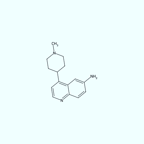 CN1CCC(c2ccnc3ccc(N)cc23)CC1